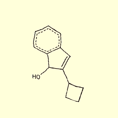 OC1C(C2CCC2)=Cc2ccccc21